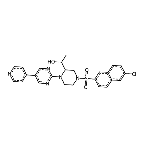 CC(O)C1CN(S(=O)(=O)c2ccc3cc(Cl)ccc3c2)CCN1c1ncc(-c2ccncc2)cn1